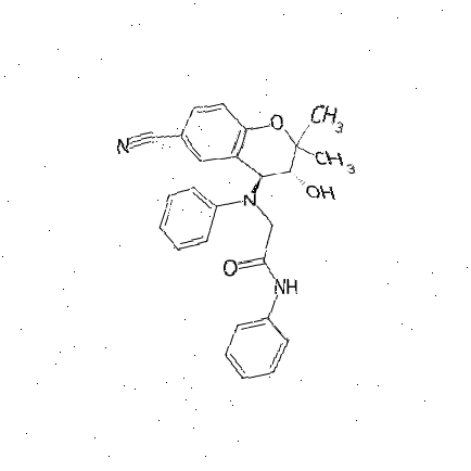 CC1(C)Oc2ccc(C#N)cc2[C@H](N(CC(=O)Nc2ccccc2)c2ccccc2)[C@H]1O